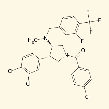 CN(Cc1ccc(C(F)(F)F)c(F)c1)[C@H]1CN(C(=O)c2ccc(Cl)cc2)C[C@@H]1c1ccc(Cl)c(Cl)c1